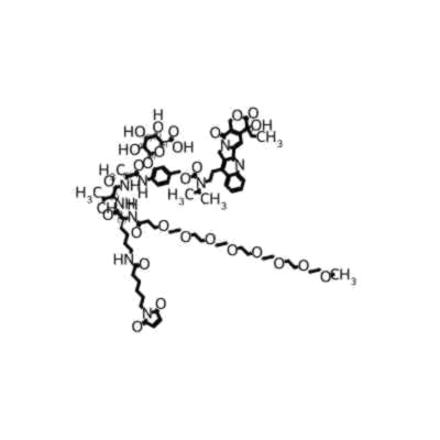 CC[C@@]1(O)C(=O)OCc2c1cc1n(c2=O)Cc2c-1nc1ccccc1c2CCN(C(=O)OCc1ccc(NC(=O)[C@H](C)NC(=O)[C@@H](NC(=O)[C@H](CCCCNC(=O)CCCCCN2C(=O)C=CC2=O)NC(=O)CCOCCOCCOCCOCCOCCOCCOCCOC)C(C)C)c(O[C@@H]2O[C@H](C(=O)O)[C@@H](O)[C@H](O)[C@H]2O)c1)C(C)C